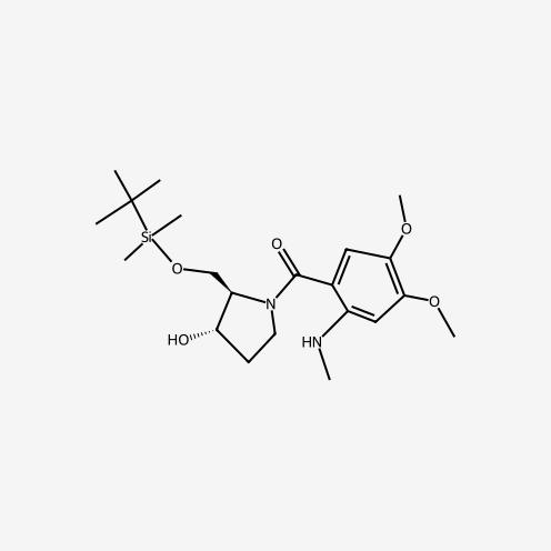 CNc1cc(OC)c(OC)cc1C(=O)N1CC[C@H](O)[C@H]1CO[Si](C)(C)C(C)(C)C